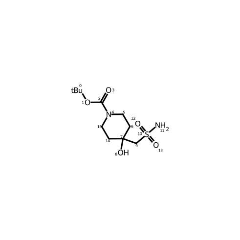 CC(C)(C)OC(=O)N1CCC(O)(CS(N)(=O)=O)CC1